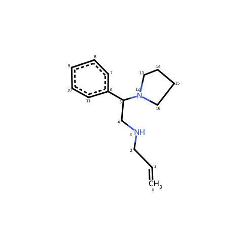 C=CCNCC(c1ccccc1)N1CCCC1